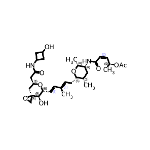 CC(=O)O[C@@H](C)/C=C\C(=O)N[C@@H]1C[C@H](C)[C@H](C/C=C(C)/C=C/[C@H]2O[C@H](CC(=O)NC3CC(O)C3)C[C@@]3(CO3)[C@@H]2O)O[C@@H]1C